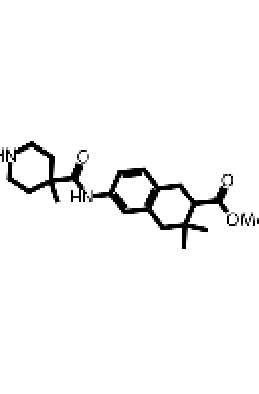 COC(=O)C1Cc2ccc(NC(=O)C3(C)CCNCC3)cc2CC1(C)C